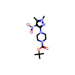 Cc1c([N+](=O)[O-])c(N2CCN(C(=O)OC(C)(C)C)CC2)nn1C